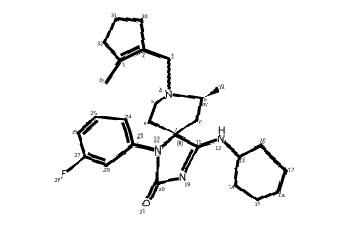 CC1=C(CN2CC[C@@]3(C[C@@H]2C)C(NC2CCCCC2)=NC(=O)N3c2cccc(F)c2)CCC1